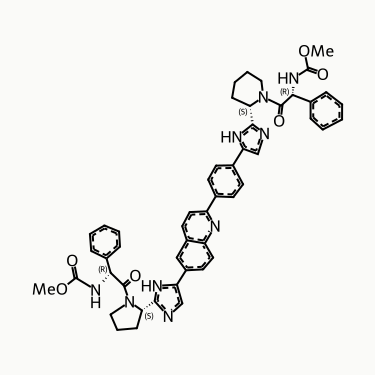 COC(=O)N[C@@H](C(=O)N1CCCC[C@H]1c1ncc(-c2ccc(-c3ccc4cc(-c5cnc([C@@H]6CCCN6C(=O)[C@H](NC(=O)OC)c6ccccc6)[nH]5)ccc4n3)cc2)[nH]1)c1ccccc1